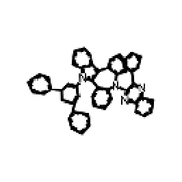 C1=C(c2ccccc2)CC(c2ccccc2)C=C1n1c2c(c3ccccc31)-c1ccccc1N(c1nc3ccccc3nc1-c1ccccc1)c1ccccc1-2